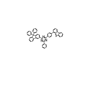 c1ccc(-c2nc(-c3ccc(-c4cccc5c4sc4ccccc45)cc3)nc(-c3ccc4c(c3)-c3ccccc3C4(c3ccccc3)c3ccccc3)n2)cc1